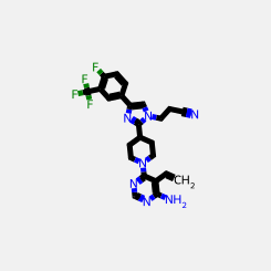 C=Cc1c(N)ncnc1N1CCC(c2nc(-c3ccc(F)c(C(F)(F)F)c3)cn2CCC#N)CC1